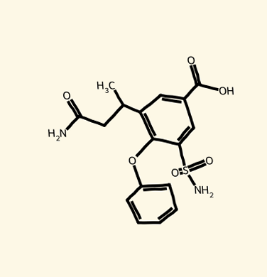 CC(CC(N)=O)c1cc(C(=O)O)cc(S(N)(=O)=O)c1Oc1ccccc1